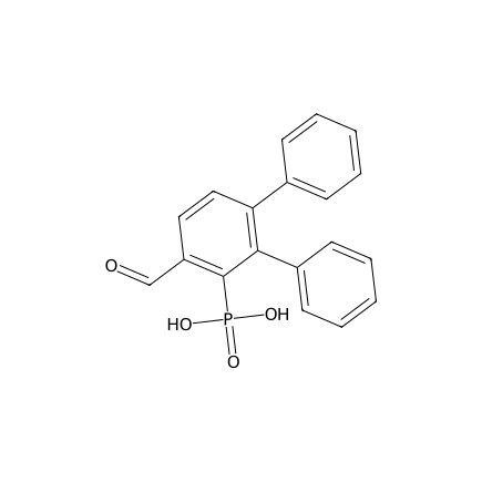 O=Cc1ccc(-c2ccccc2)c(-c2ccccc2)c1P(=O)(O)O